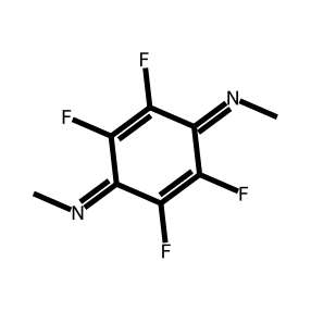 CN=C1C(F)=C(F)C(=NC)C(F)=C1F